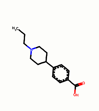 CCCN1CCC(c2ccc(C(=O)O)cc2)CC1